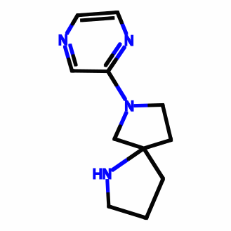 c1cnc(N2CCC3(CCCN3)C2)cn1